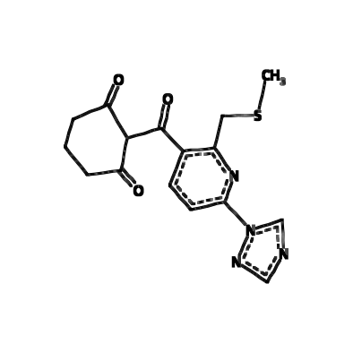 CSCc1nc(-n2cncn2)ccc1C(=O)C1C(=O)CCCC1=O